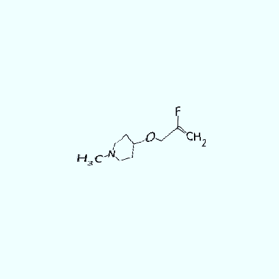 C=C(F)COC1CCN(C)CC1